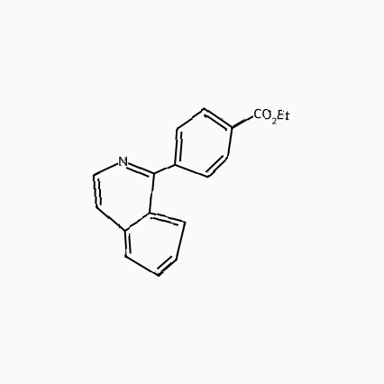 CCOC(=O)c1ccc(-c2nccc3ccccc23)cc1